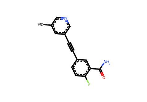 N#Cc1cncc(C#Cc2ccc(F)c(C(N)=O)c2)c1